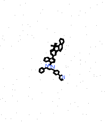 CC1(C)c2ccc(-c3ccc(-c4nc(-c5ccccc5)cc(-c5ccc(-c6cccnc6)cc5)n4)c4ccccc34)cc2-c2ccc3ccccc3c21